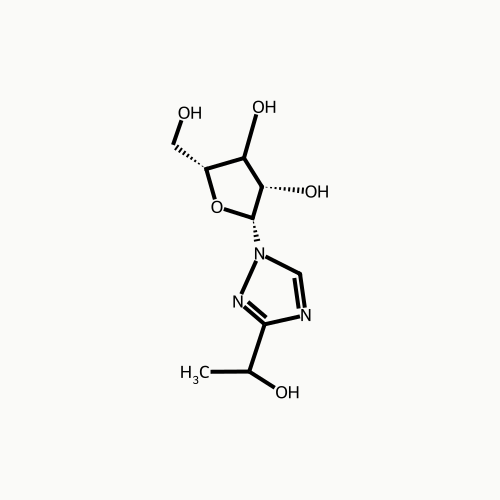 CC(O)c1ncn([C@@H]2O[C@H](CO)C(O)[C@@H]2O)n1